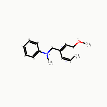 C/C=C\C(=C/COC)CN(C)c1ccccc1